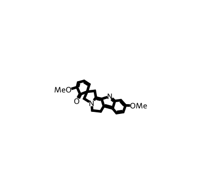 COC1=CC=CC2(CC3=C4N=c5cc(OC)ccc5=C4CCN3C2)C1=O